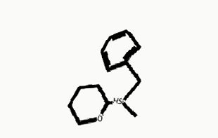 C[SiH](Cc1ccccc1)C1CCCCO1